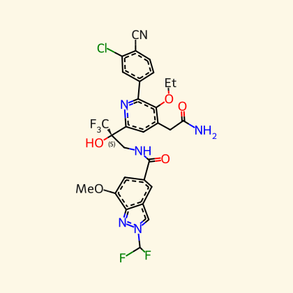 CCOc1c(CC(N)=O)cc([C@@](O)(CNC(=O)c2cc(OC)c3nn(C(F)F)cc3c2)C(F)(F)F)nc1-c1ccc(C#N)c(Cl)c1